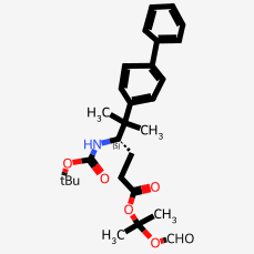 CC(C)(C)OC(=O)N[C@@H](CCC(=O)OC(C)(C)OC=O)C(C)(C)c1ccc(-c2ccccc2)cc1